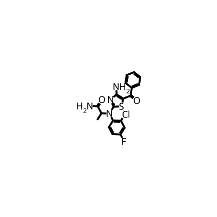 CC(C(N)=O)N(c1nc(N)c(C(=O)c2ccccc2)s1)c1ccc(F)cc1Cl